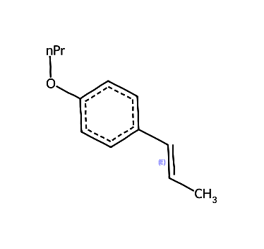 C/C=C/c1ccc(OCCC)cc1